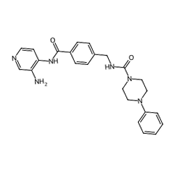 Nc1cnccc1NC(=O)c1ccc(CNC(=O)N2CCN(c3ccccc3)CC2)cc1